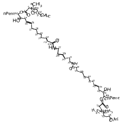 CCCCCC(OC(=O)C[N+](C)(C)CCOC(C)=O)C(O)CC=CCCCCCCCC(=O)NCCCCCCNC(=O)CCCCCCCC=CCC(O)C(CCCCC)OC(=O)C[N+](C)(C)CCOC(C)=O